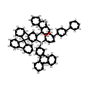 c1ccc(-c2ccc(-c3ccc(N(c4ccc5c6ccccc6c6ccccc6c5c4)c4cc5c(cc4-c4cccc6sc7ccccc7c46)-c4ccccc4C54c5ccccc5-c5ccccc54)cc3)cc2)cc1